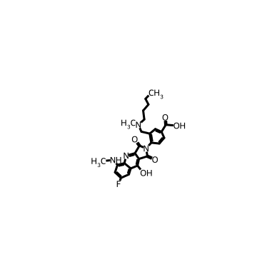 CCCCCN(C)Cc1cc(C(=O)O)ccc1N1C(=O)c2nc3c(NC)cc(F)cc3c(O)c2C1=O